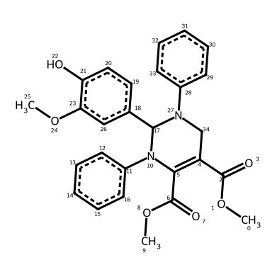 COC(=O)C1=C(C(=O)OC)N(c2ccccc2)C(c2ccc(O)c(OC)c2)N(c2ccccc2)C1